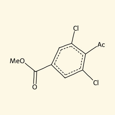 COC(=O)c1cc(Cl)c(C(C)=O)c(Cl)c1